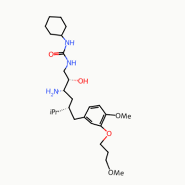 COCCCOc1cc(C[C@@H](C[C@H](N)[C@@H](O)CNC(=O)NC2CCCCC2)C(C)C)ccc1OC